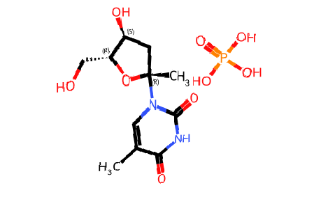 Cc1cn([C@@]2(C)C[C@H](O)[C@@H](CO)O2)c(=O)[nH]c1=O.O=P(O)(O)O